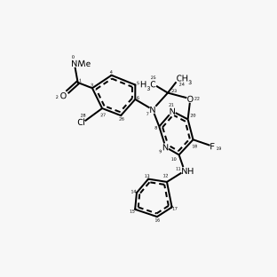 CNC(=O)c1ccc(N2c3nc(Nc4ccccc4)c(F)c(n3)OC2(C)C)cc1Cl